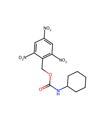 O=C(NC1CCCCC1)OCc1c([N+](=O)[O-])cc([N+](=O)[O-])cc1[N+](=O)[O-]